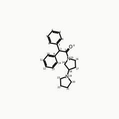 O=C(C(c1ccccc1)c1ccccc1)N1CCC(N2CCCC2)C1